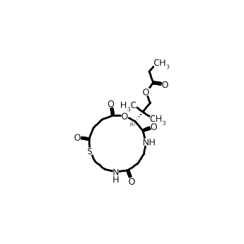 CCC(=O)OCC(C)(C)[C@H]1OC(=O)CCC(=O)SCCNC(=O)CCNC1=O